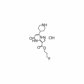 Cl.O=C(OCCCF)c1cnn2c(C3CCNCC3)cc(=O)[nH]c12